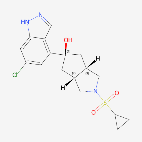 O=S(=O)(C1CC1)N1C[C@@H]2C[C@](O)(c3cc(Cl)cc4[nH]ncc34)C[C@@H]2C1